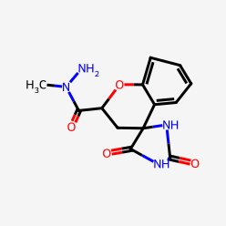 CN(N)C(=O)C1CC2(NC(=O)NC2=O)c2ccccc2O1